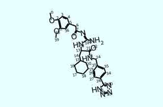 COc1ccc(CC(=O)N=C(N)NC(CC2CCCCC2)C(=O)NCc2ccc(-c3nnn[nH]3)cc2)cc1OC